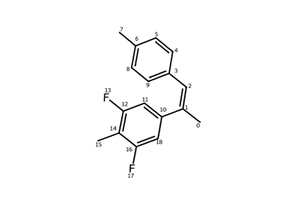 CC(=Cc1ccc(C)cc1)c1cc(F)c(C)c(F)c1